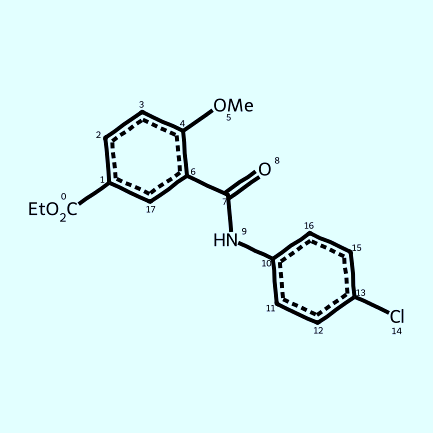 CCOC(=O)c1ccc(OC)c(C(=O)Nc2ccc(Cl)cc2)c1